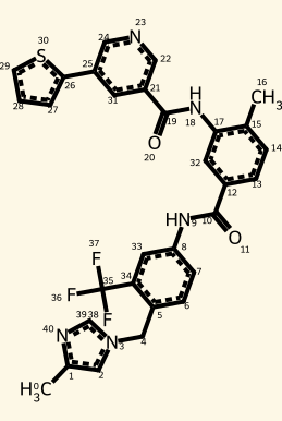 Cc1cn(Cc2ccc(NC(=O)c3ccc(C)c(NC(=O)c4cncc(-c5cccs5)c4)c3)cc2C(F)(F)F)cn1